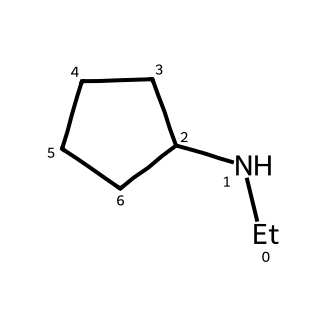 [CH2]CNC1CCCC1